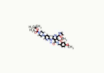 COc1ccc(CN2Cc3c(-c4ncco4)ncc(Nc4ccc(N5CCN(C(=O)OC(C)(C)C)CC5)cn4)c3C2=O)c(OC)c1